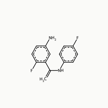 C=C(Nc1ccc(F)cc1)c1cc(N)ccc1F